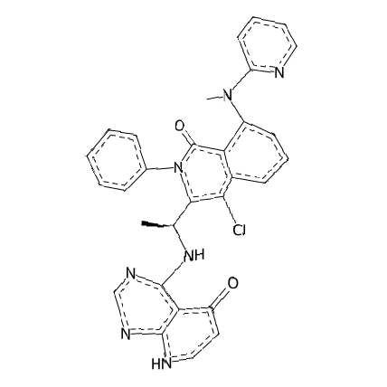 C[C@H](Nc1ncnc2[nH]ccc(=O)c12)c1c(Cl)c2cccc(N(C)c3ccccn3)c2c(=O)n1-c1ccccc1